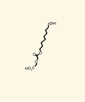 CCCCCCCCCCCCCCCCCCOC(=O)COCC(=O)O